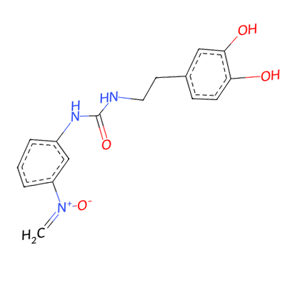 C=[N+]([O-])c1cccc(NC(=O)NCCc2ccc(O)c(O)c2)c1